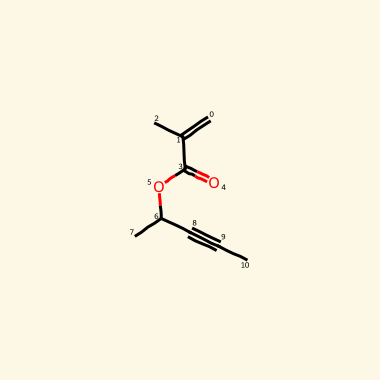 C=C(C)C(=O)OC(C)C#CC